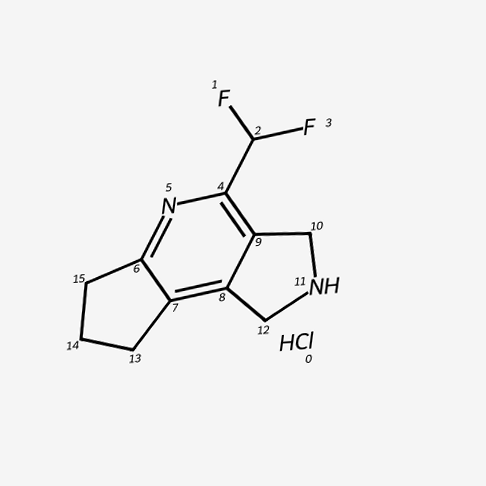 Cl.FC(F)c1nc2c(c3c1CNC3)CCC2